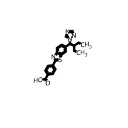 CCC(CC)C(c1ccc2nc(-c3ccc(C(=O)O)cc3)sc2c1)n1cncn1